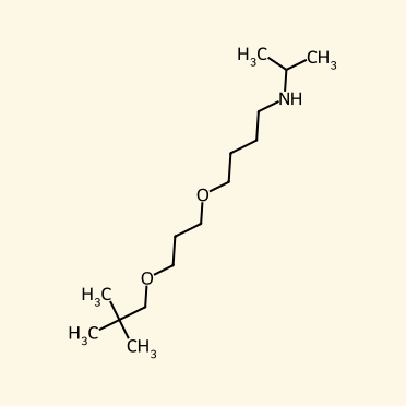 CC(C)NCCCCOCCCOCC(C)(C)C